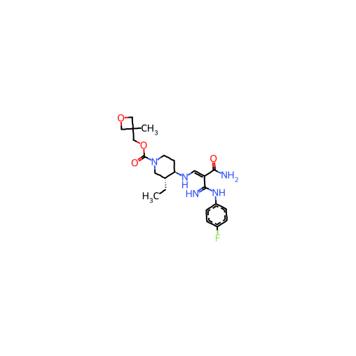 CC[C@@H]1CN(C(=O)OCC2(C)COC2)CC[C@H]1N/C=C(\C(=N)Nc1ccc(F)cc1)C(N)=O